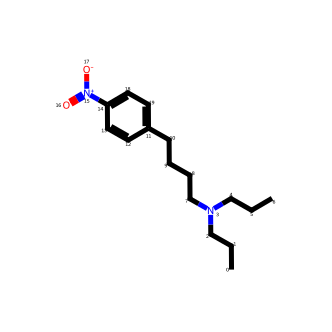 CCCN(CCC)CCCCc1ccc([N+](=O)[O-])cc1